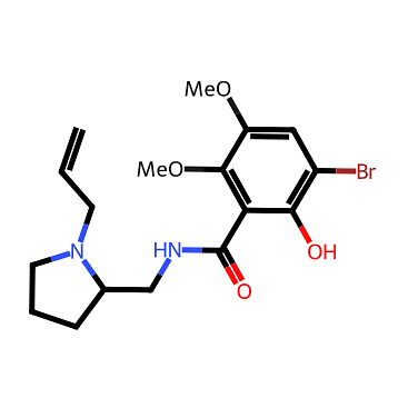 C=CCN1CCCC1CNC(=O)c1c(O)c(Br)cc(OC)c1OC